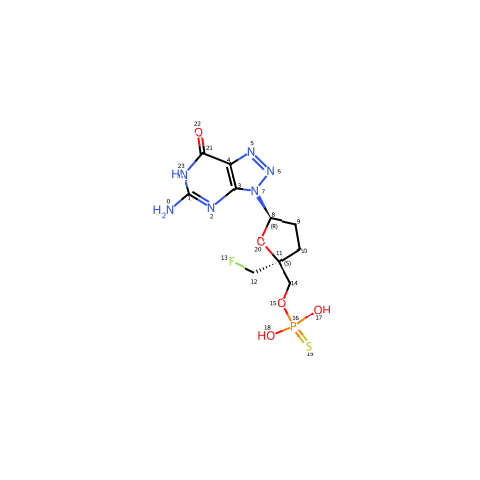 Nc1nc2c(nnn2[C@H]2CC[C@@](CF)(COP(O)(O)=S)O2)c(=O)[nH]1